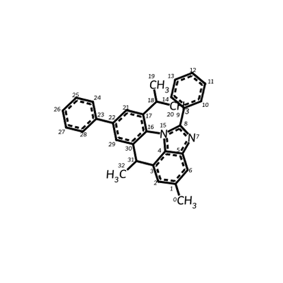 Cc1cc2c3c(c1)nc(-c1ccccc1)n3-c1c(C(C)C)cc(-c3ccccc3)cc1C2C